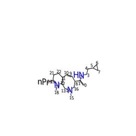 C=C(NCCC1CC1)C1/C=C\C2=C(CN(C)C1)N(C)[C@@H](CCC)CC2